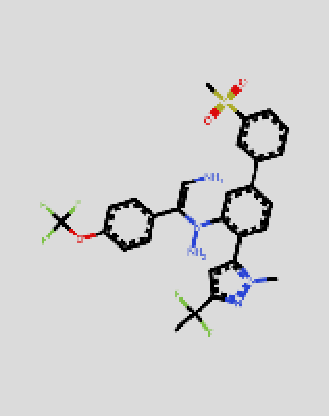 Cn1nc(C(C)(F)F)cc1-c1ccc(-c2cccc(S(C)(=O)=O)c2)cc1N(N)/C(=C\N)c1ccc(OC(F)(F)F)cc1